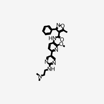 COc1nc(-c2cnc(NCCN(C)C)nc2)ccc1NC(=O)c1c(-c2ccccc2)noc1C